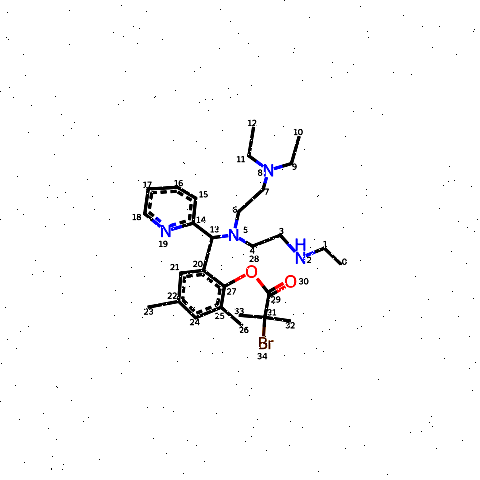 CCNCCN(CCN(CC)CC)C(c1ccccn1)c1cc(C)cc(C)c1OC(=O)C(C)(C)Br